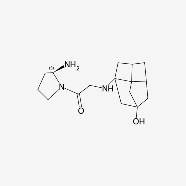 N[C@@H]1CCCN1C(=O)CNC12CC3CC4CC(O)(C1)CC432